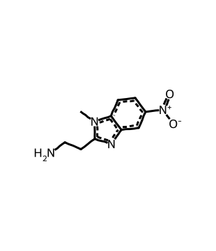 Cn1c(CCN)nc2cc([N+](=O)[O-])ccc21